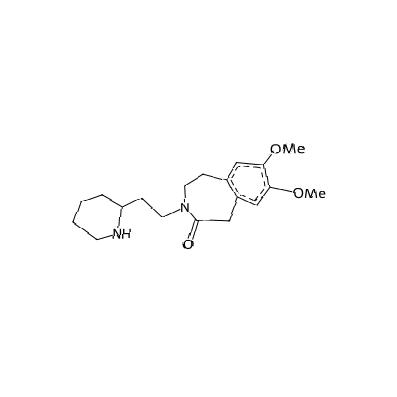 COc1cc2c(cc1OC)CC(=O)N(CCC1CCCCN1)CC2